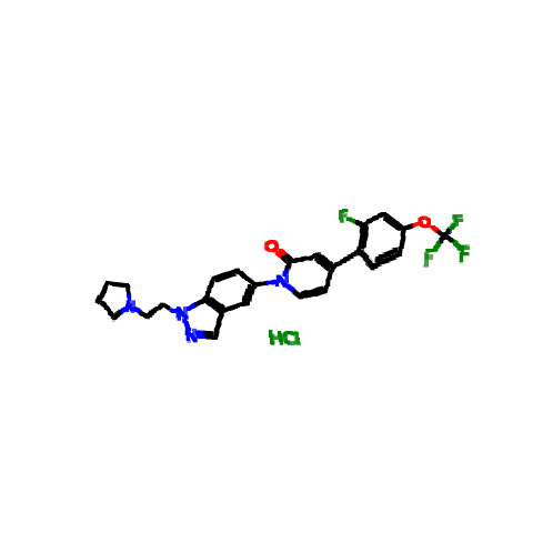 Cl.O=c1cc(-c2ccc(OC(F)(F)F)cc2F)ccn1-c1ccc2c(cnn2CCN2CCCC2)c1